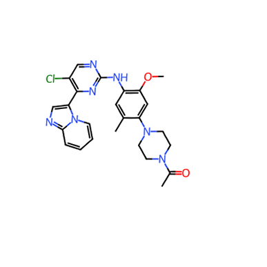 COc1cc(N2CCN(C(C)=O)CC2)c(C)cc1Nc1ncc(Cl)c(-c2cnc3ccccn23)n1